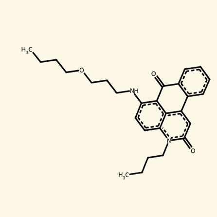 CCCCOCCCNc1ccc2c3c(cc(=O)n2CCCC)-c2ccccc2C(=O)c13